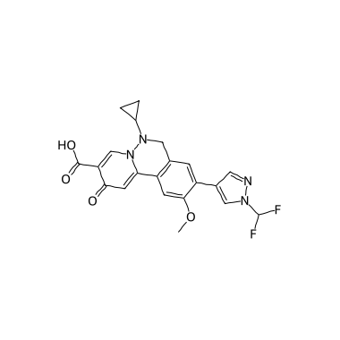 COc1cc2c(cc1-c1cnn(C(F)F)c1)CN(C1CC1)n1cc(C(=O)O)c(=O)cc1-2